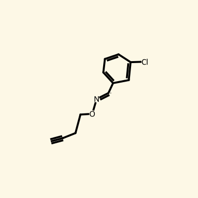 C#CCCON=[C]c1cccc(Cl)c1